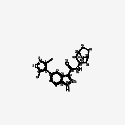 Cc1noc(C)c1-c1ccc2[nH]nc(C(=O)NC3CC4CCC(C3)N4C)c2c1